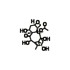 CC(=O)O[C@@]12CO[C@@H]1C[C@H](O)[C@@]1(C)C(=O)[C@H](O)C3=C(C)[C@@H](O)C[C@@](O)([C@@H](C)[C@H]21)C3(C)C